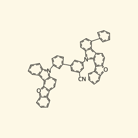 N#Cc1cc(-c2cccc(-n3c4ccccc4c4c5oc6ccccc6c5ccc43)c2)cc(-n2c3cccc(-c4ccccc4)c3c3ccc4oc5ccccc5c4c32)c1